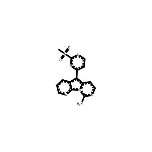 CS(=O)(=O)c1nccc(-c2c3cccnc3n3c(N)nccc23)n1